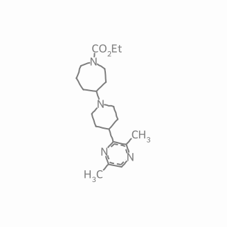 CCOC(=O)N1CCCC(N2CCC(c3nc(C)cnc3C)CC2)CC1